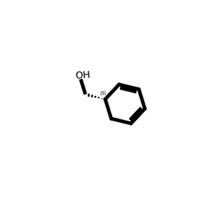 OC[C@@H]1C=CC=CC1